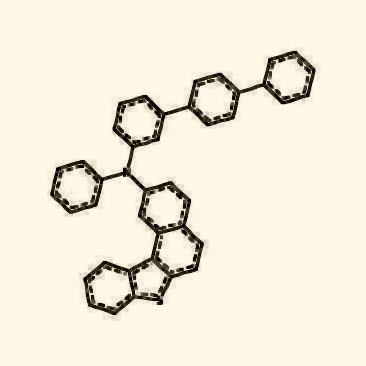 c1ccc(-c2ccc(-c3cccc(N(c4ccccc4)c4ccc5ccc6sc7ccccc7c6c5c4)c3)cc2)cc1